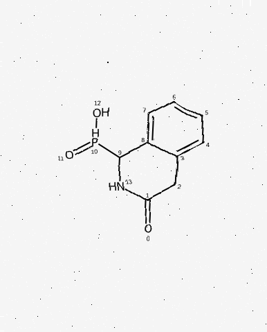 O=C1Cc2ccccc2C([PH](=O)O)N1